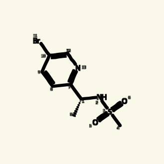 C[C@@H](NS(C)(=O)=O)c1ccc(Br)cn1